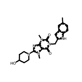 Cc1ccc2[nH]c(Cn3c(=O)c4c(nc(N5CCC(O)CC5)n4C)n(C)c3=O)cc2c1